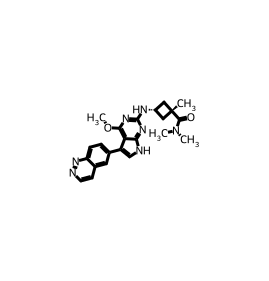 COc1nc(N[C@H]2C[C@@](C)(C(=O)N(C)C)C2)nc2[nH]cc(-c3ccc4nnccc4c3)c12